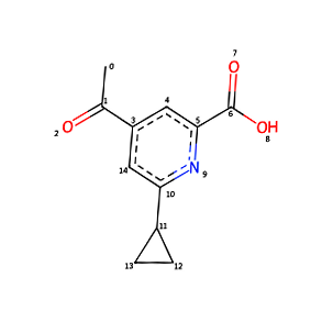 CC(=O)c1cc(C(=O)O)nc(C2CC2)c1